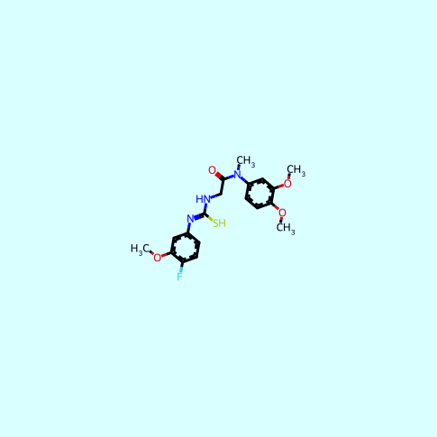 COc1cc(N=C(S)NCC(=O)N(C)c2ccc(OC)c(OC)c2)ccc1F